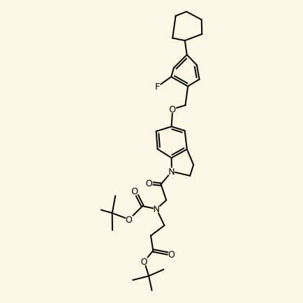 CC(C)(C)OC(=O)CCN(CC(=O)N1CCc2cc(OCc3ccc(C4CCCCC4)cc3F)ccc21)C(=O)OC(C)(C)C